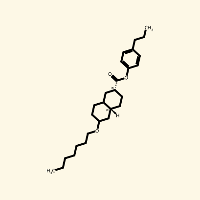 CCCCCCCOC1CCC2C[C@H](C(=O)Oc3ccc(CCC)cc3)CC[C@@H]2C1